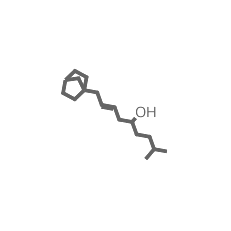 CC(C)CCC(O)CC=CCC12CCC(CC1)C2